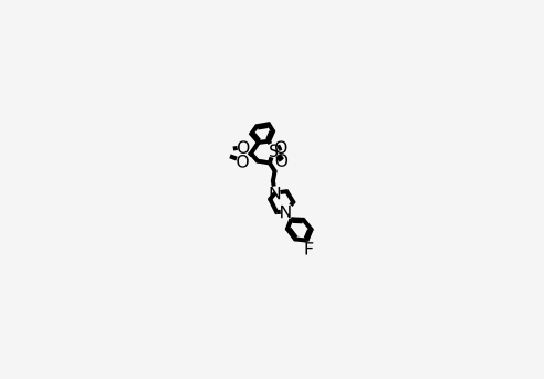 COC1(OC)CC(CCN2CCN(c3ccc(F)cc3)CC2)S(=O)(=O)c2ccccc21